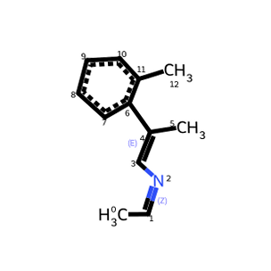 C/C=N\C=C(/C)c1ccccc1C